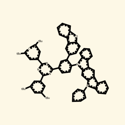 CC(C)(C)c1cc(-c2nc(-c3cc(C(C)(C)C)cc(C(C)(C)C)c3)nc(-c3ccc(-n4c5ccccc5c5cc6c7ccccc7n(-c7ccccc7)c6cc54)c(-c4ccc5oc6ccccc6c5c4)c3)n2)cc(C(C)(C)C)c1